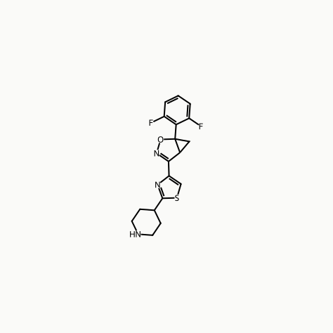 Fc1cccc(F)c1C12CC1C(c1csc(C3CCNCC3)n1)=NO2